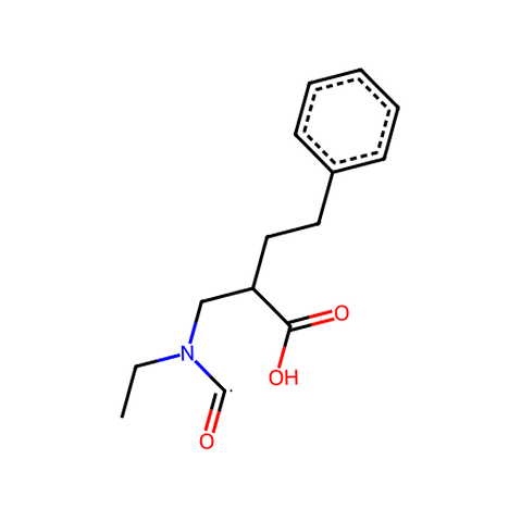 CCN([C]=O)CC(CCc1ccccc1)C(=O)O